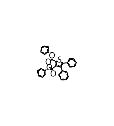 O=C(Oc1ccccc1)c1sc(-c2ccccc2)c(-c2ccccc2)c1C(=O)Oc1ccccc1